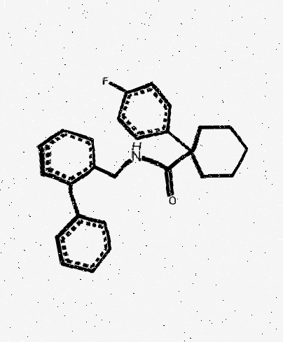 O=C(NCc1ccccc1-c1ccccc1)C1(c2ccc(F)cc2)CCCCC1